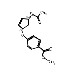 COC(=O)c1ccc(O[C@@H]2C=C[C@@H](OC(C)=O)C2)cc1